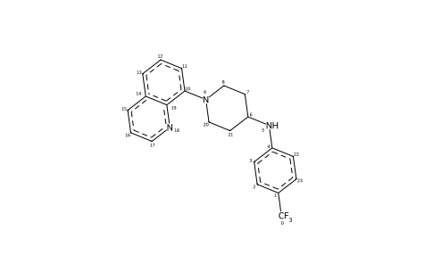 FC(F)(F)c1ccc(NC2CCN(c3cccc4cccnc34)CC2)cc1